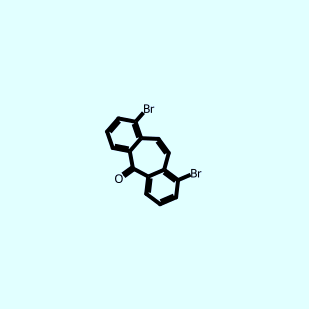 O=c1c2cccc(Br)c2ccc2c(Br)cccc12